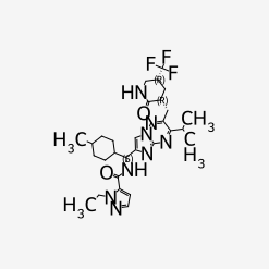 CCn1nccc1C(=O)N[C@H](c1cn2nc(C[C@H]3C[C@@H](C(F)(F)F)CNC3=O)c(C(C)C)nc2n1)C1CCC(C)CC1